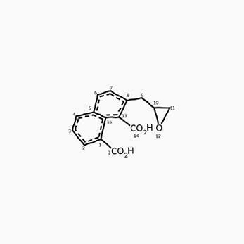 O=C(O)c1cccc2ccc(CC3CO3)c(C(=O)O)c12